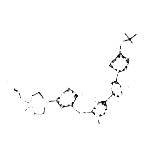 Cn1nc(-c2nc(-c3ccc(OC(F)(F)F)cc3)no2)nc1Cc1ccnc(N2CC[N+](C)(OC=O)CC2)c1